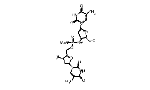 CNP(=O)(NC1CC(n2cc(C)c(=O)[nH]c2=O)OC1CO)OCC1OC(n2cc(C)c(=O)[nH]c2=O)CC1N